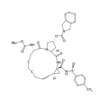 Cc1ccc([S@+]([O-])NC(=O)[C@@]23C[C@H]2/C=C\CCCCC[C@H](NC(=O)OC(C)(C)C)C(=O)N2C[C@H](OC(=O)N4Cc5ccccc5C4)C[C@H]2C(=O)N3)cc1